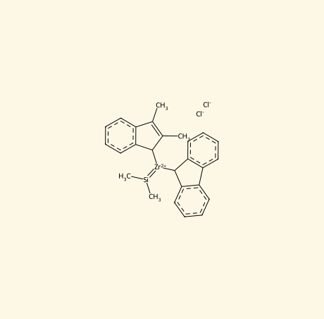 CC1=C(C)[CH]([Zr+2]([CH]2c3ccccc3-c3ccccc32)=[Si](C)C)c2ccccc21.[Cl-].[Cl-]